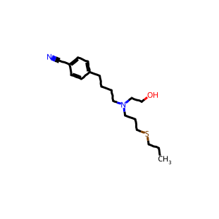 CCCSCCCN(CCO)CCCCc1ccc(C#N)cc1